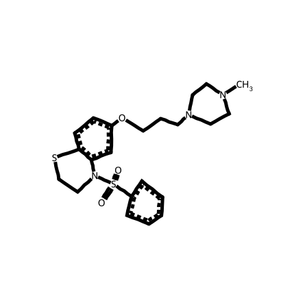 CN1CCN(CCCOc2ccc3c(c2)N(S(=O)(=O)c2ccccc2)CCS3)CC1